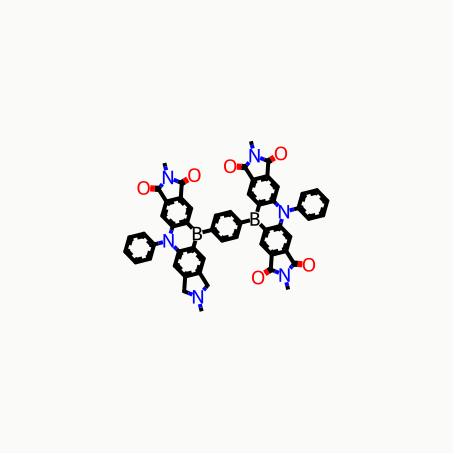 CN1Cc2cc3c(cc2C1)N(c1ccccc1)c1cc2c(cc1B3c1ccc(B3c4cc5c(cc4N(c4ccccc4)c4cc6c(cc43)C(=O)N(C)C6=O)C(=O)N(C)C5=O)cc1)C(=O)N(C)C2=O